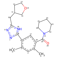 Cc1cc(C)c(-c2nnc(CC3CCOC3)[nH]2)cc1C(=O)N1CCCCC1